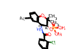 CC(=O)c1ccc2c(c1)[C@H](NC(=O)c1ccccc1Cl)[C@@H](OP(=O)(O)O)C(C)(C)O2